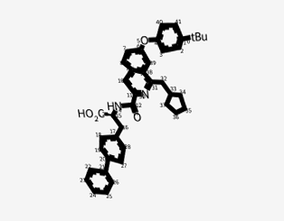 CC(C)(C)c1ccc(Oc2ccc3cc(C(=O)N[C@@H](Cc4ccc(-c5ccccc5)cc4)C(=O)O)nc(CC4CCCC4)c3c2)cc1